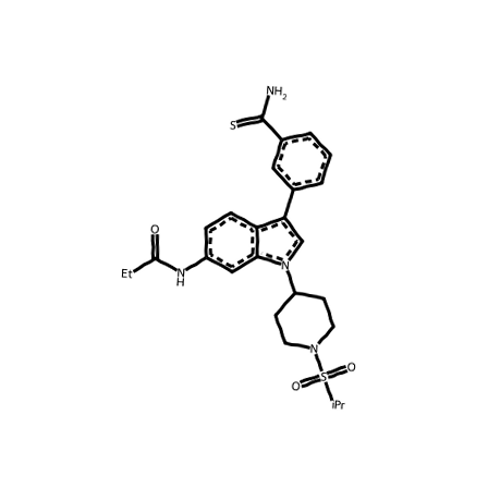 CCC(=O)Nc1ccc2c(-c3cccc(C(N)=S)c3)cn(C3CCN(S(=O)(=O)C(C)C)CC3)c2c1